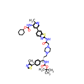 Cc1ncc(-c2ccc3nc(NC(=O)CN4CCN(CC[C@H](NC(=O)OC(C)(C)C)c5ccc(-c6scnc6C)cc5)CC4)sc3c2)cc1NC(=O)OC1CCCCC1